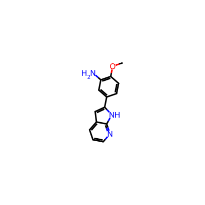 COc1ccc(-c2cc3cccnc3[nH]2)cc1N